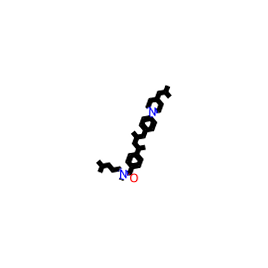 CC(C)CCCN(C)C(=O)c1ccc(C(C)CC(C)Cc2ccc(N3CCC(CC(C)C)CC3)cc2)cc1